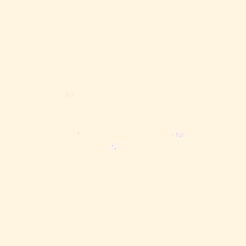 CCC1([C@H](CC(=O)O)c2ccnc(OCC3CCNCC3)c2)CC1